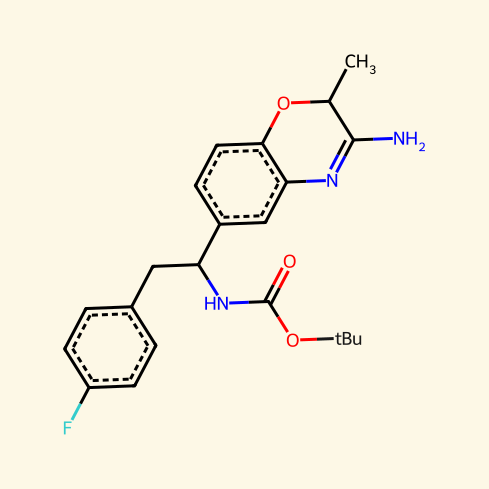 CC1Oc2ccc(C(Cc3ccc(F)cc3)NC(=O)OC(C)(C)C)cc2N=C1N